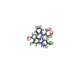 O=C1CCc2c1c(F)cc1c3ncc(Br)cc3n(C(c3ccccc3)C3CCOCC3)c21